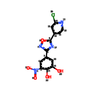 O=[N+]([O-])c1cc(-c2noc(-c3ccnc(Cl)c3)n2)cc(O)c1O